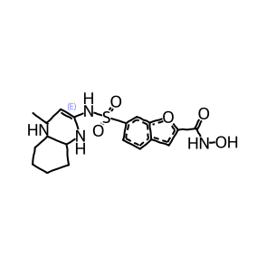 CC(=N)/C=C(\NC1CCCCC1)NS(=O)(=O)c1ccc2cc(C(=O)NO)oc2c1